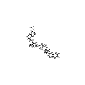 O=S(=O)(CC1CC1)c1cccc(OC[C@@H](O)CN[C@H]2COC3(CCN(S(=O)(=O)c4cnc5ccccc5c4)CC3)C2)c1